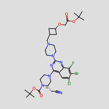 CC(C)(C)OC(=O)COC1CC(CN2CCN(c3nc(N4CCN(C(=O)OC(C)(C)C)[C@@H](CC#N)C4)c4cc(Cl)c(Br)c(F)c4n3)CC2)C1